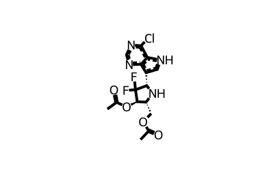 CC(=O)OC[C@H]1N[C@@H](c2c[nH]c3c(Cl)ncnc23)C(F)(F)[C@@H]1OC(C)=O